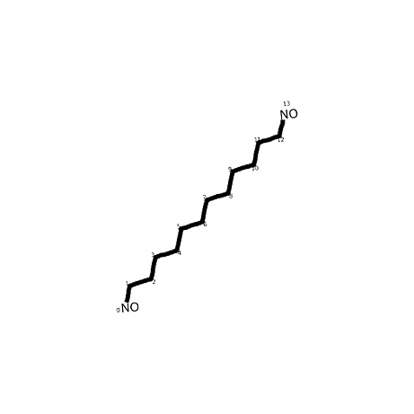 O=NCCCCCCCCCCCCN=O